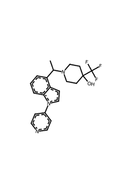 CC(c1cccc2c1ccn2-c1ccncc1)N1CCC(O)(C(F)(F)F)CC1